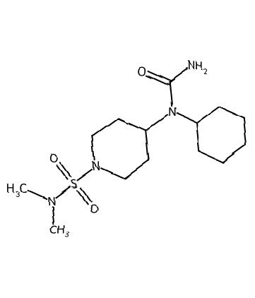 CN(C)S(=O)(=O)N1CCC(N(C(N)=O)C2CCCCC2)CC1